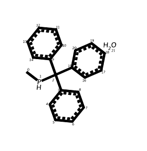 CPC(c1ccccc1)(c1ccccc1)c1ccccc1.O